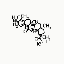 CC1(C)C2CC[C@]3(C)[C@H](C(=O)C=C4[C@H]5C[C@@](C)(C(=O)NO)CC[C@]5(C)CC[C@]43C)[C@@]2(C)CC[C@H]1N